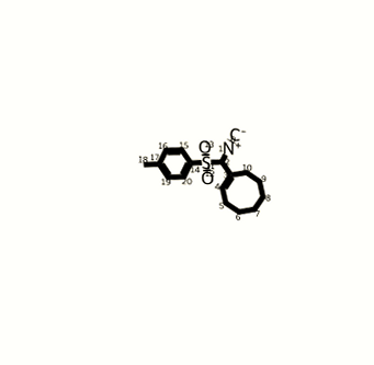 [C-]#[N+]C(C1=CCCCCCC1)S(=O)(=O)c1ccc(C)cc1